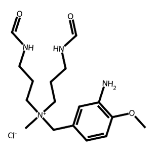 COc1ccc(C[N+](C)(CCCNC=O)CCCNC=O)cc1N.[Cl-]